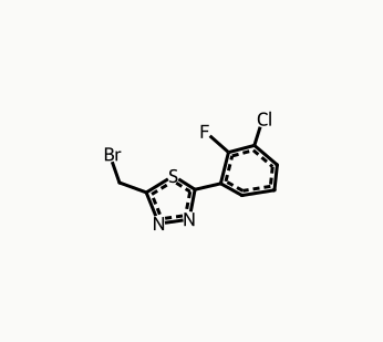 Fc1c(Cl)cccc1-c1nnc(CBr)s1